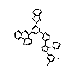 Cc1cc(C)cc(-c2nnc(-c3cccc(-c4cc(-c5nc6ccccc6s5)cc(-c5cc6ccccc6c6ncccc56)c4)c3)n2-c2ccccc2)c1